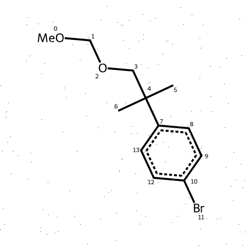 COCOCC(C)(C)c1ccc(Br)cc1